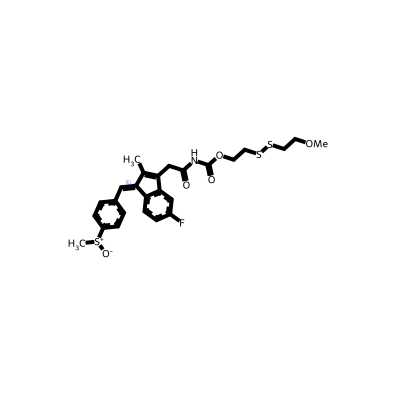 COCCSSCCOC(=O)NC(=O)CC1=C(C)/C(=C/c2ccc([S+](C)[O-])cc2)c2ccc(F)cc21